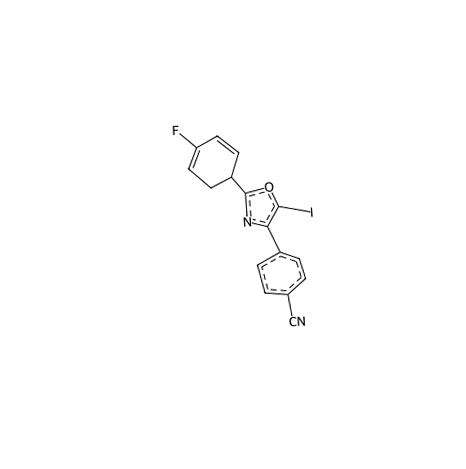 N#Cc1ccc(-c2nc(C3C=CC(F)=CC3)oc2I)cc1